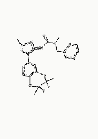 Cc1cn(-c2ccc3c(c2)OC(F)(F)C(F)(F)O3)c(=NC(=O)N(C)Cc2cnccn2)s1